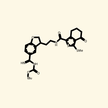 CSc1sc(C(=O)NCCC2COc3ccc(C(=N)NC(=O)OC(C)(C)C)cc32)c2c1C(=O)CCC2